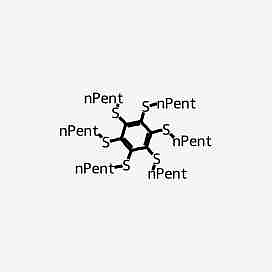 CCCCCSc1c(SCCCCC)c(SCCCCC)c(SCCCCC)c(SCCCCC)c1SCCCCC